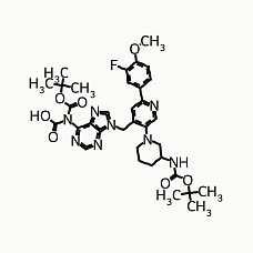 COc1ccc(-c2cc(Cn3cnc4c(N(C(=O)O)C(=O)OC(C)(C)C)ncnc43)c(N3CCCC(NC(=O)OC(C)(C)C)C3)cn2)cc1F